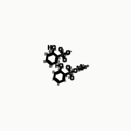 O=S(=O)([O-])c1ccccc1O.O=S(=O)([O-])c1ccccc1O.[Na+].[Na+]